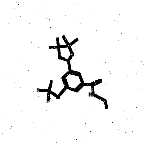 CCNC(=O)c1cc(OC(F)(F)F)cc(B2OC(C)(C)C(C)(C)O2)c1